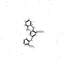 CCCCCCCCc1cc(Cc2ccccc2C)ccc1Cc1ccccc1C